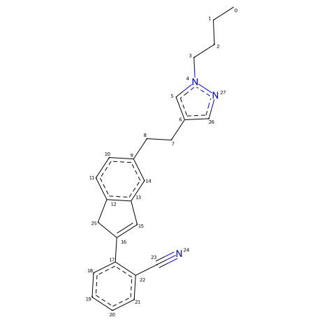 CCCCn1cc(CCc2ccc3c(c2)C=C(c2ccccc2C#N)C3)cn1